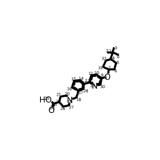 CC(C)(C)C1CCC(Oc2ccc(-c3cccc(CN4CCC(C(=O)O)CC4)c3)nc2)CC1